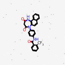 O=C1CC(=O)N(c2ccc(NC(=O)c3ccccc3C(F)(F)F)cc2)c2ccc3ccccc3c2N1